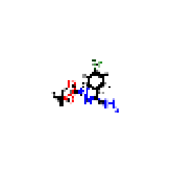 CC(C)(C)OC(=O)N1N=C(N)C2=CC=C(Br)CC21